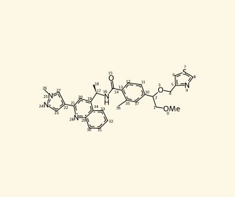 COCC(OCc1cscn1)c1ccc(C(=O)N[C@H](C)c2cc(-c3cnn(C)c3)nc3ccccc23)c(C)c1